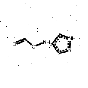 NOC=O.c1cn[nH]c1